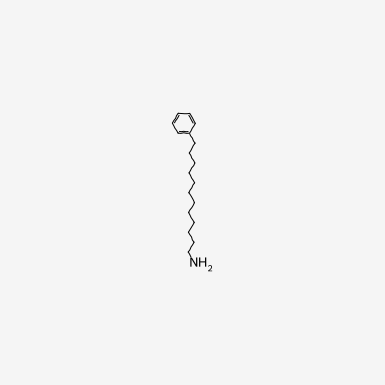 NCCCCCCCCCCCCc1ccccc1